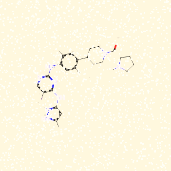 Cc1cc(Nc2nc(Nc3cc(C)c(C4CCN(C(=O)[C@@H]5CCCN5C)CC4)cc3C)ncc2I)n[nH]1